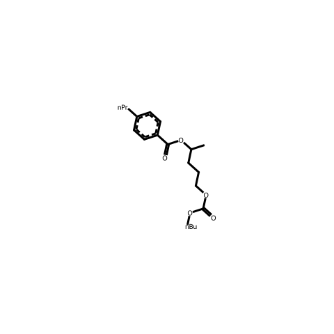 CCCCOC(=O)OCCCC(C)OC(=O)c1ccc(CCC)cc1